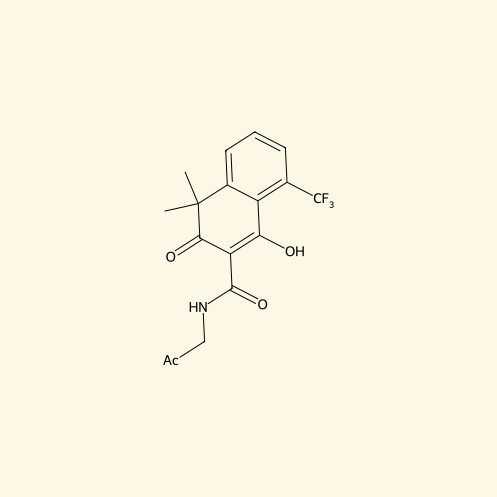 CC(=O)CNC(=O)C1=C(O)c2c(C(F)(F)F)cccc2C(C)(C)C1=O